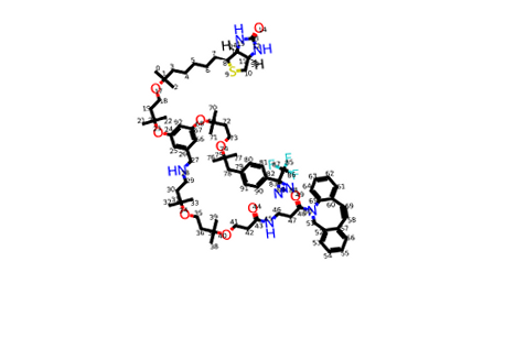 CC(C)(CCCCC[C@@H]1SC[C@@H]2NC(=O)N[C@@H]21)OCCC(C)(C)Oc1cc(CNCCC(C)(C)OCCC(C)(C)OCCC(=O)NCCC(=O)N2Cc3ccccc3C#Cc3ccccc32)cc(OC(C)(C)CCOC(C)(C)Cc2ccc(C3(C(F)(F)F)N=N3)cc2)c1